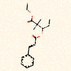 CCOC(=O)C(C)(C)C(CC)OC(=O)/C=C/c1ccccc1